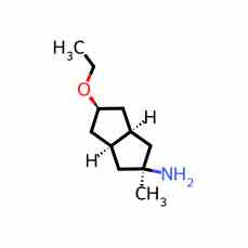 CCO[C@@H]1C[C@@H]2C[C@](C)(N)C[C@@H]2C1